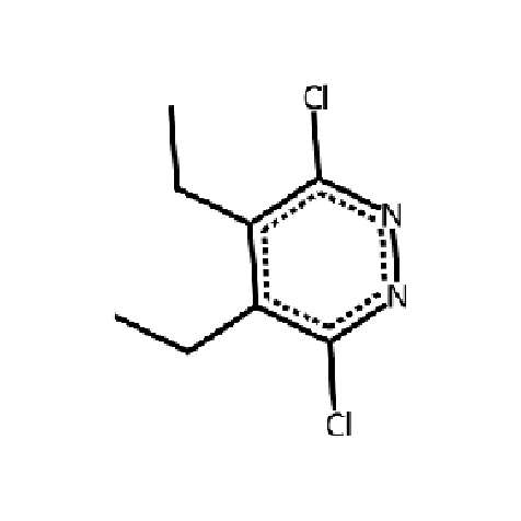 CCc1c(Cl)nnc(Cl)c1CC